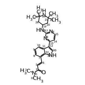 CN(C)C(=O)/C=C/c1cccc2c(-c3ccnc(NC4CC(C)(C)NC(C)(C)C4)n3)c[nH]c12